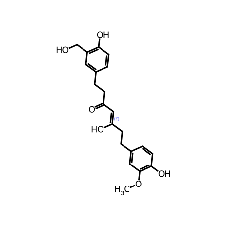 COc1cc(CC/C(O)=C/C(=O)CCc2ccc(O)c(CO)c2)ccc1O